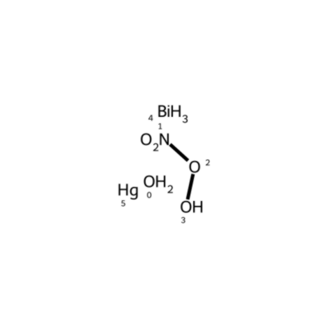 O.O=[N+]([O-])OO.[BiH3].[Hg]